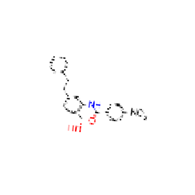 O=C(Nc1cc(CCc2ccccc2)ccc1CO)c1ccc([N+](=O)[O-])cc1